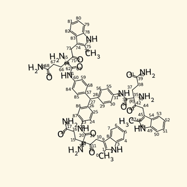 Cc1[nH]c2ccccc2c1CC(=O)[C@](N)(CCC(N)=O)C(=O)Nc1ccc(C(c2ccc(NC(=O)[C@@](N)(CCC(N)=O)C(=O)Cc3c(C)[nH]c4ccccc34)cc2)c2ccc(NC(=O)[C@@](N)(CCC(N)=O)C(=O)Cc3c(C)[nH]c4ccccc34)cc2)cc1